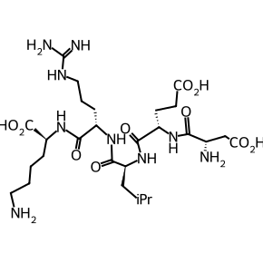 CC(C)C[C@H](NC(=O)[C@H](CCC(=O)O)NC(=O)[C@@H](N)CC(=O)O)C(=O)N[C@@H](CCCNC(=N)N)C(=O)N[C@@H](CCCCN)C(=O)O